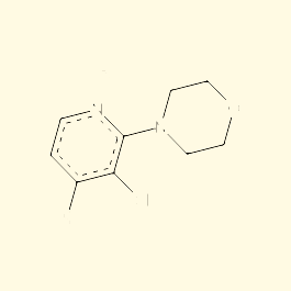 [K+].[S-]c1ccnc(N2CCOCC2)c1Cl